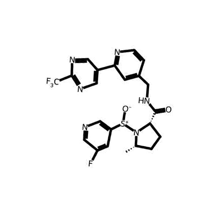 C[C@H]1CC[C@@H](C(=O)NCc2ccnc(-c3cnc(C(F)(F)F)nc3)c2)N1[S+]([O-])c1cncc(F)c1